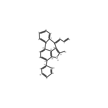 C=C/C=c1/c2ccccc2c2ccc(-c3ccccn3)c3oc(C)c1c32